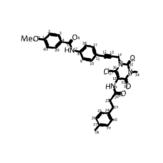 COc1ccc(C(=O)Nc2ccc(C#CCn3c(Cl)c(NC(=O)CCc4ccc(C)cc4)c(=O)n(C)c3=O)cc2)cc1